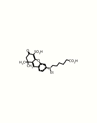 CCN(CCCCCC(=O)O)c1ccc2c(c1)OC1=C(S(=O)(=O)O)C(=O)CC(C)(C)C1=C2